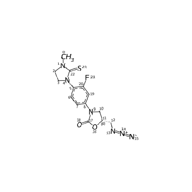 CN1CCN(c2ccc(N3C[C@H](CN=[N+]=[N-])OC3=O)cc2F)C1=S